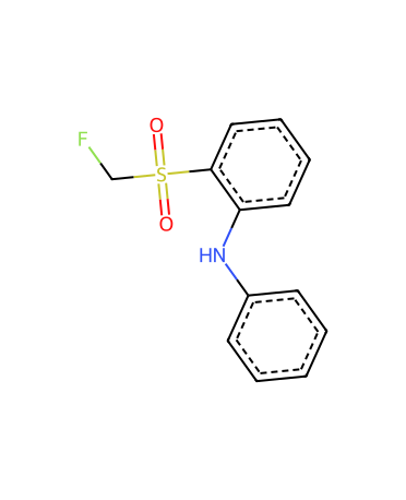 O=S(=O)(CF)c1ccccc1Nc1ccccc1